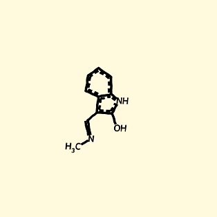 CN=Cc1c(O)[nH]c2ccccc12